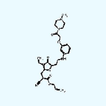 C=CCOC(=O)C(C#N)CC1SC(CCNc2cccc(OCC(=O)N3CCN(C)CC3)c2)C(=O)N1CC